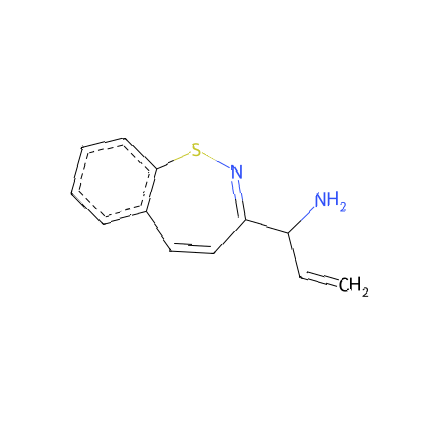 C=CC(N)C1=NSc2ccccc2C=C1